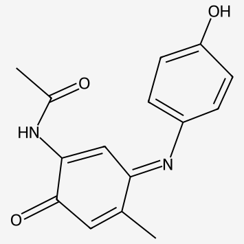 CC(=O)NC1=CC(=Nc2ccc(O)cc2)C(C)=CC1=O